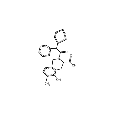 Cc1ccc2c(c1O)C[C@@H](C(=O)O)N(C(=O)C(c1ccccc1)c1ccccc1)C2